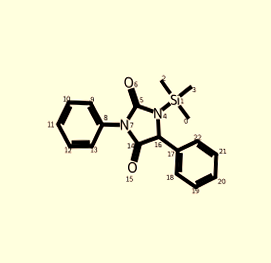 C[Si](C)(C)N1C(=O)N(c2ccccc2)C(=O)C1c1ccccc1